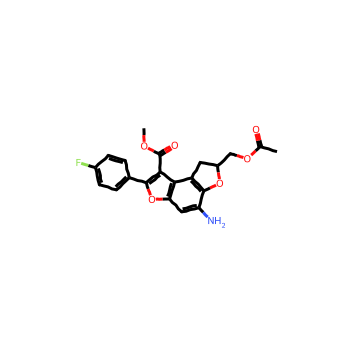 COC(=O)c1c(-c2ccc(F)cc2)oc2cc(N)c3c(c12)CC(COC(C)=O)O3